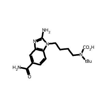 CC(C)(C)N(CCCCn1c(N)nc2cc(C(N)=O)ccc21)C(=O)O